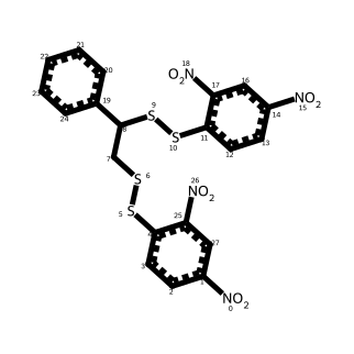 O=[N+]([O-])c1ccc(SSCC(SSc2ccc([N+](=O)[O-])cc2[N+](=O)[O-])c2ccccc2)c([N+](=O)[O-])c1